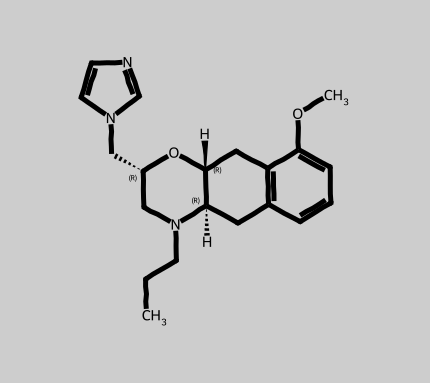 CCCN1C[C@H](Cn2ccnc2)O[C@@H]2Cc3c(cccc3OC)C[C@H]21